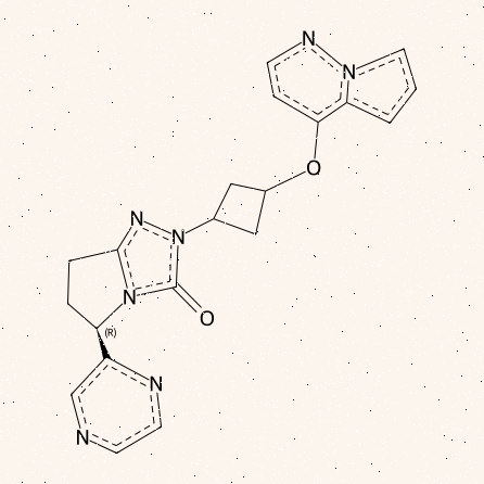 O=c1n(C2CC(Oc3ccnn4cccc34)C2)nc2n1[C@@H](c1cnccn1)CC2